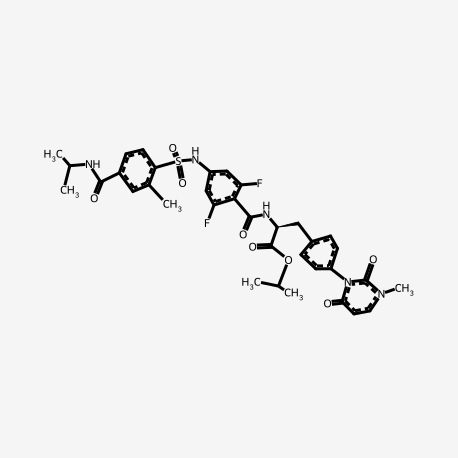 Cc1cc(C(=O)NC(C)C)ccc1S(=O)(=O)Nc1cc(F)c(C(=O)N[C@@H](Cc2ccc(-n3c(=O)ccn(C)c3=O)cc2)C(=O)OC(C)C)c(F)c1